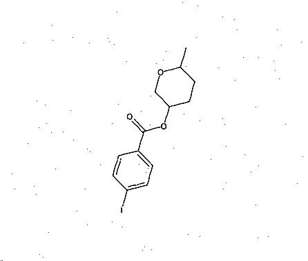 CC1CCC(OC(=O)c2ccc(I)cc2)CO1